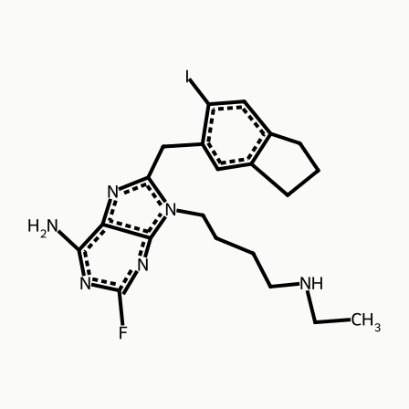 CCNCCCCn1c(Cc2cc3c(cc2I)CCC3)nc2c(N)nc(F)nc21